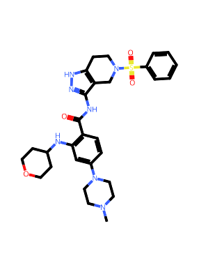 CN1CCN(c2ccc(C(=O)Nc3n[nH]c4c3CN(S(=O)(=O)c3ccccc3)CC4)c(NC3CCOCC3)c2)CC1